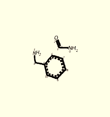 NC=O.NCc1ccccc1